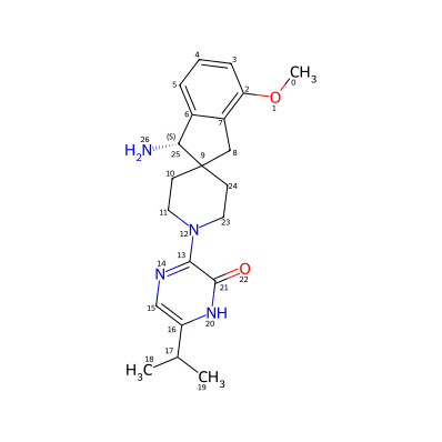 COc1cccc2c1CC1(CCN(c3ncc(C(C)C)[nH]c3=O)CC1)[C@@H]2N